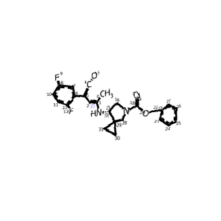 C/C(=C\C(=C=O)c1cc(F)ccc1F)N[C@@H]1CN(C(=O)OCc2ccccc2)CC12CC2